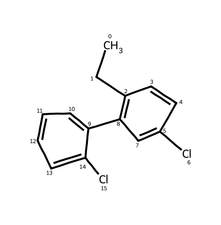 CCc1ccc(Cl)cc1-c1ccccc1Cl